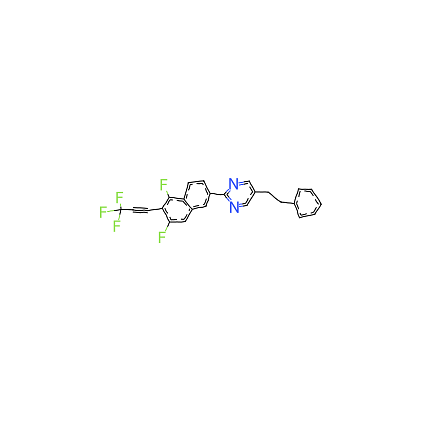 Fc1cc2cc(-c3ncc(CCc4ccccc4)cn3)ccc2c(F)c1C#CC(F)(F)F